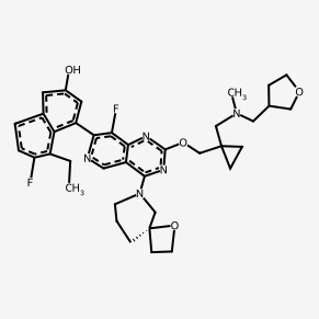 CCc1c(F)ccc2cc(O)cc(-c3ncc4c(N5CCC[C@]6(CCO6)C5)nc(OCC5(CN(C)CC6CCOC6)CC5)nc4c3F)c12